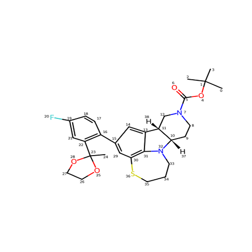 CC(C)(C)OC(=O)N1CC[C@H]2[C@@H](C1)c1cc(-c3ccc(F)cc3C3(C)OCCO3)cc3c1N2CCCS3